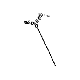 [C-]#[N+]/C(C)=C\c1ccc(-c2ccc(N(c3ccc(C#CC#CC#CC#CC#CC#CC#CC#CC#CC#CC#CC#CC#CC#CC#C)cc3)c3ccc(-c4ccc(/C=C(\C#N)OC=O)s4)cc3)cc2)s1